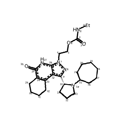 CCNC(=O)OCCn1nc([C@H]2CCCN2C2CCCCCC2)c2c3c(c(=O)[nH]c21)CCCC3